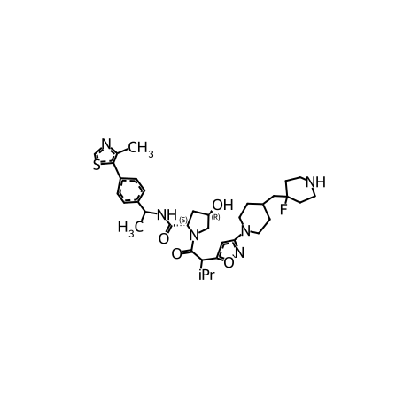 Cc1ncsc1-c1ccc(C(C)NC(=O)[C@@H]2C[C@@H](O)CN2C(=O)C(c2cc(N3CCC(CC4(F)CCNCC4)CC3)no2)C(C)C)cc1